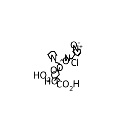 O=C(O)C[C@@](O)(CC(=O)O[C@@H](CO/N=C(\Cl)c1ccc[n+]([O-])c1)CN1CCCCC1)C(=O)O